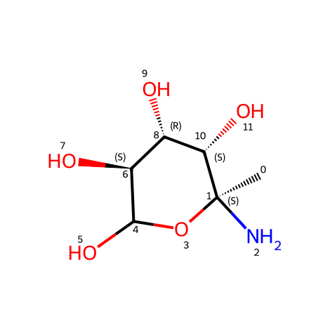 C[C@]1(N)OC(O)[C@@H](O)[C@H](O)[C@@H]1O